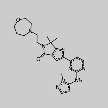 Cn1nccc1Nc1nccc(-c2cc3c(s2)C(C)(C)N(CCN2CCCOCC2)C3=O)n1